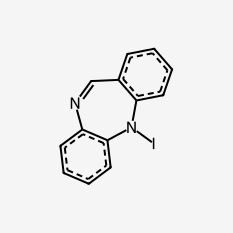 IN1c2ccccc2C=Nc2ccccc21